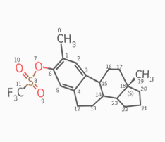 Cc1cc2c(cc1OS(=O)(=O)C(F)(F)F)CCC1C2CC[C@]2(C)CCCC12